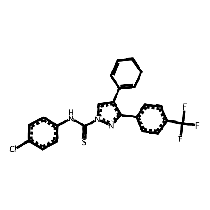 FC(F)(F)c1ccc(-c2nn(C(=S)Nc3ccc(Cl)cc3)cc2C2=CCCC=C2)cc1